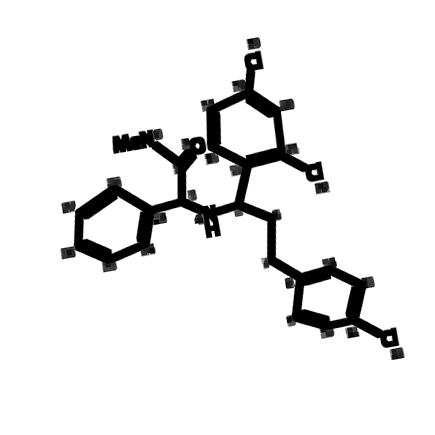 CNC(=O)C(NC(CCc1ccc(Cl)cc1)c1ccc(Cl)cc1Cl)c1ccccc1